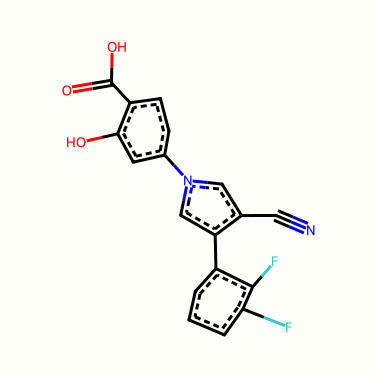 N#Cc1cn(-c2ccc(C(=O)O)c(O)c2)cc1-c1cccc(F)c1F